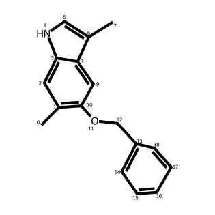 Cc1cc2[nH]cc(C)c2cc1OCc1ccccc1